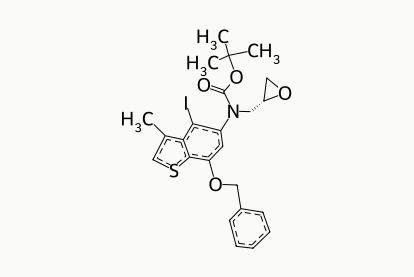 Cc1csc2c(OCc3ccccc3)cc(N(C[C@@H]3CO3)C(=O)OC(C)(C)C)c(I)c12